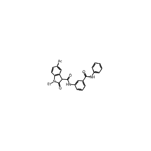 CCN1C(=O)C(C(=O)Nc2cccc(C(=O)Nc3ccccc3)c2)c2cc(C(C)=O)ccc21